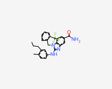 CCCc1cc(Nc2nc3cc(C(N)=O)ccc3n2Cc2ccccc2C(F)(F)F)ccc1C